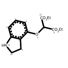 CCOC(=O)C(Oc1cccc2c1CCN2)C(=O)OCC